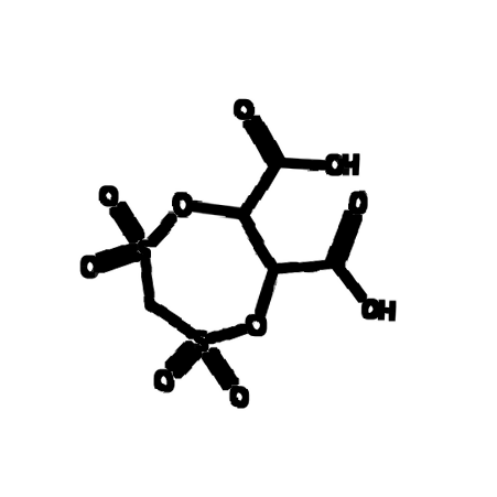 O=C(O)C1OS(=O)(=O)CS(=O)(=O)OC1C(=O)O